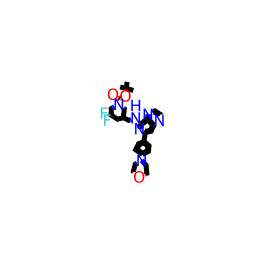 CC(C)(C)OC(=O)N1CC(CNc2nc(-c3ccc(N4CCOCC4)cc3)cc3nccnc23)CC(F)(F)C1